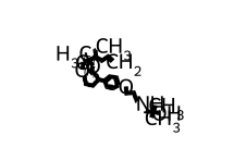 C=CCC(CC)[C@@]1(C)OO[C@@]2(CCCC(c3ccc(OCCCNCC(C)(C)O)cc3)C2)O1